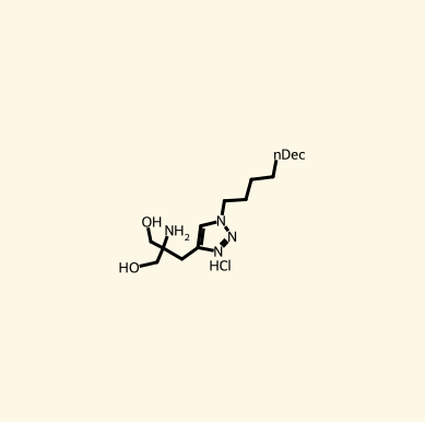 CCCCCCCCCCCCCCn1cc(CC(N)(CO)CO)nn1.Cl